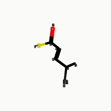 CCC(C)C=CC(=O)[S]